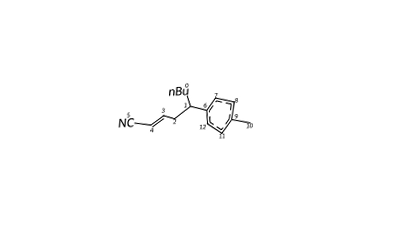 CCCCC(C/C=C/C#N)c1ccc(C)cc1